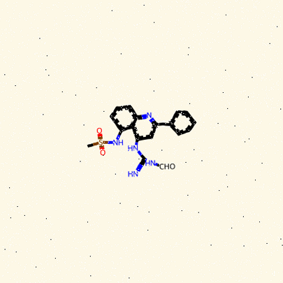 CS(=O)(=O)Nc1cccc2nc(-c3ccccc3)cc(NC(=N)NC=O)c12